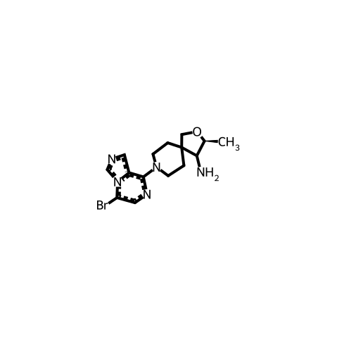 C[C@@H]1OCC2(CCN(c3ncc(Br)n4cncc34)CC2)C1N